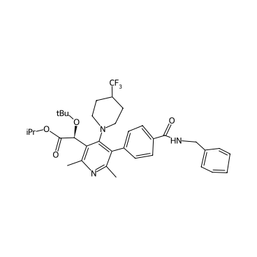 Cc1nc(C)c([C@H](OC(C)(C)C)C(=O)OC(C)C)c(N2CCC(C(F)(F)F)CC2)c1-c1ccc(C(=O)NCc2ccccc2)cc1